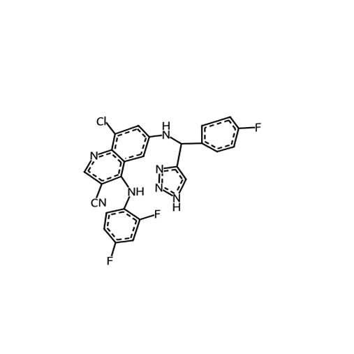 N#Cc1cnc2c(Cl)cc(NC(c3ccc(F)cc3)c3c[nH]nn3)cc2c1Nc1ccc(F)cc1F